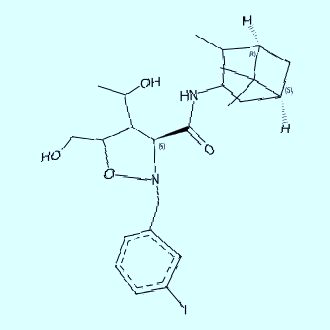 CC(O)C1C(CO)ON(Cc2cccc(I)c2)[C@@H]1C(=O)NC1C[C@@H]2C[C@H](C1C)C2(C)C